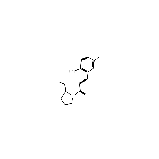 Nc1ccc(O)cc1C=CC(=O)N1CCCC1CO